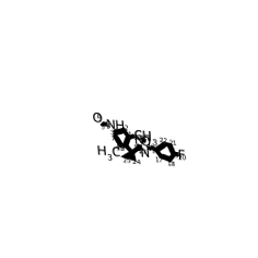 Cc1cc(NC=O)cc(C)c1C1(c2noc(-c3ccc(F)cc3)n2)CC1